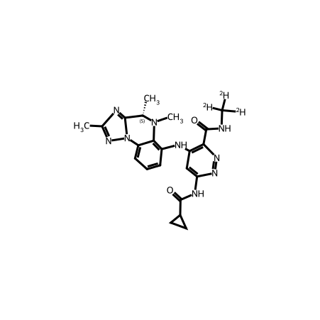 [2H]C([2H])([2H])NC(=O)c1nnc(NC(=O)C2CC2)cc1Nc1cccc2c1N(C)[C@@H](C)c1nc(C)nn1-2